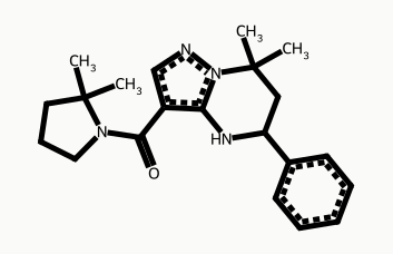 CC1(C)CCCN1C(=O)c1cnn2c1NC(c1ccccc1)CC2(C)C